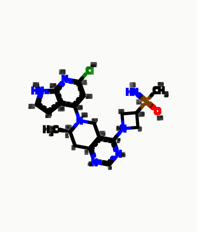 C[C@@H]1Cc2ncnc(N3CC(S(C)(=N)=O)C3)c2CN1c1cc(Cl)nc2[nH]ccc12